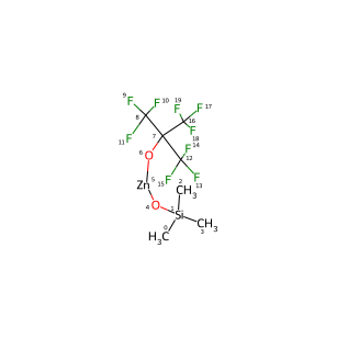 C[Si](C)(C)[O][Zn][O]C(C(F)(F)F)(C(F)(F)F)C(F)(F)F